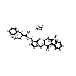 CC1N(COC(=O)C(CN)Cc2ccccc2)C=CN1CC1CCc2c(c3ccccc3n2C)C1=O.Cl.Cl